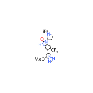 COc1cc(-c2cc3[nH]c(=O)n([C@@H]4CCCN(C(C)C)C4)c3cc2C(F)(F)F)cn2ncnc12